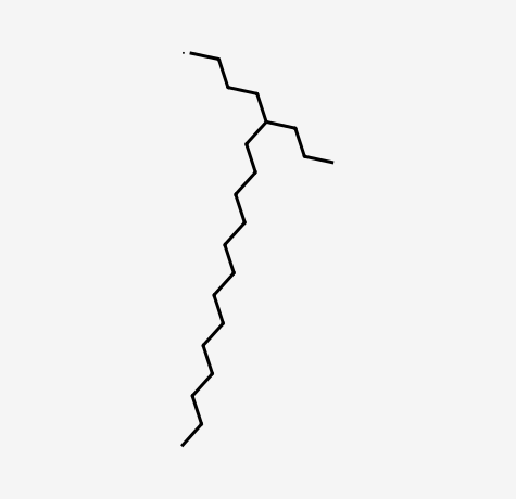 [CH2]CCCC(CCC)CCCCCCCCCCCCC